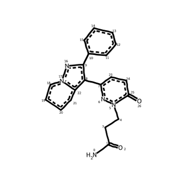 NC(=O)CCn1nc(-c2c(-c3ccccc3)nn3ccccc23)ccc1=O